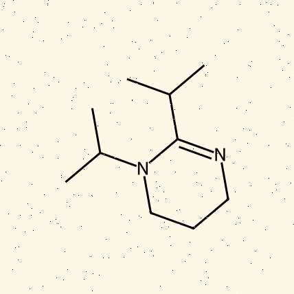 CC(C)C1=NCCCN1C(C)C